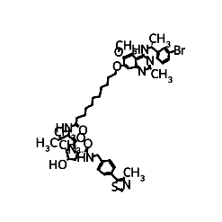 COc1cc2c(N[C@H](C)c3cccc(Br)c3)nc(C)nc2cc1OCCCCCCCCCCC(=O)N[C@H](C(=O)N1C[C@H](O)C[C@H]1C(=O)NCc1ccc(-c2scnc2C)cc1)C(C)(C)C